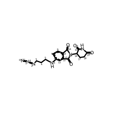 [N-]=[N+]=NCCCNc1ccc2c(c1)C(=O)N(C1CCC(=O)NC1=O)C2=O